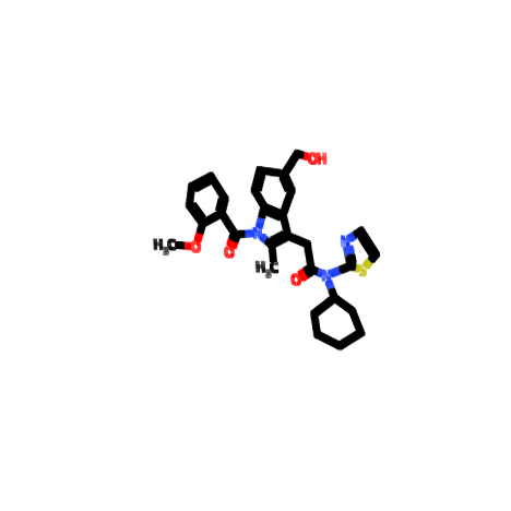 COc1ccccc1C(=O)n1c(C)c(CC(=O)N(c2nccs2)C2CCCCC2)c2cc(CO)ccc21